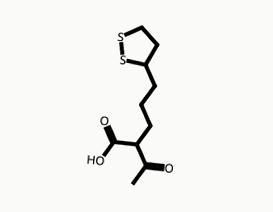 CC(=O)C(CCCC1CCSS1)C(=O)O